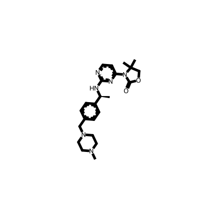 C[C@H](Nc1nccc(N2C(=O)OCC2(C)C)n1)c1ccc(CN2CCN(C)CC2)cc1